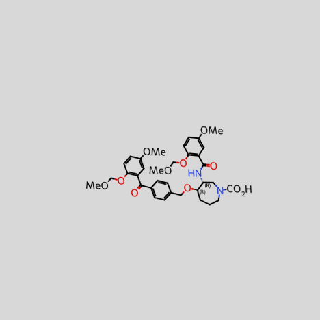 COCOc1ccc(OC)cc1C(=O)N[C@@H]1CN(C(=O)O)CCC[C@H]1OCc1ccc(C(=O)c2cc(OC)ccc2OCOC)cc1